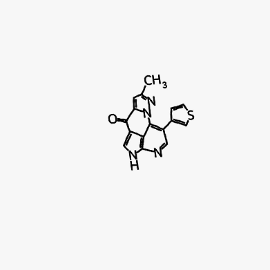 Cc1cc2c(=O)c3c[nH]c4ncc(-c5ccsc5)c(c43)n2n1